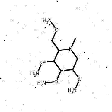 CN1CC(ON)C(ON)C(ON)C1CON